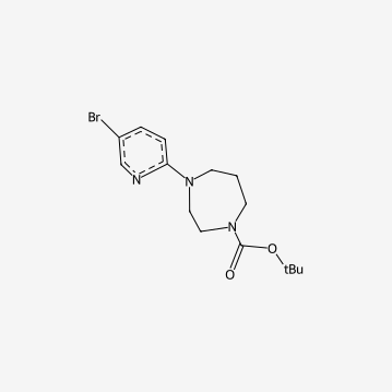 CC(C)(C)OC(=O)N1CCCN(c2ccc(Br)cn2)CC1